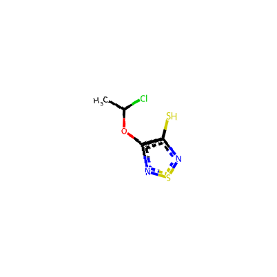 CC(Cl)Oc1nsnc1S